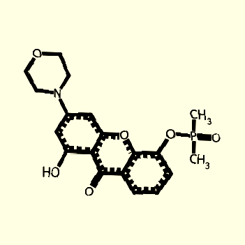 CP(C)(=O)Oc1cccc2c(=O)c3c(O)cc(N4CCOCC4)cc3oc12